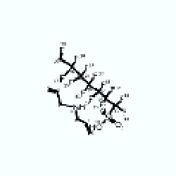 C=CCNCC=C.O=S(=O)(O)C(F)(F)C(F)(F)C(F)(F)C(F)(F)C(F)(F)C(F)(F)CF